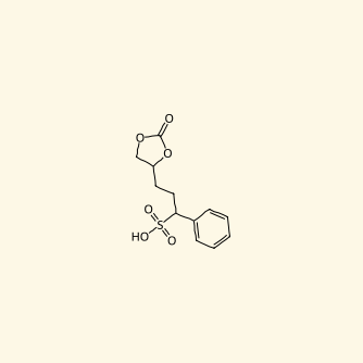 O=C1OCC(CCC(c2ccccc2)S(=O)(=O)O)O1